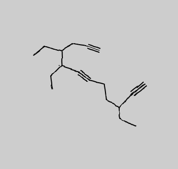 C#CCC(CC)[C](C#CCCC(C#C)CC)CC